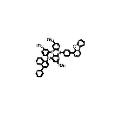 CC(C)(C)c1ccc2c(c1)B1c3cc(C(C)(C)C)ccc3N(c3ccc(-c4ccccc4)c4ccccc34)c3cc(C(C)(C)C)cc(c31)N2c1ccc(-c2cccc3c2oc2ccccc23)cc1